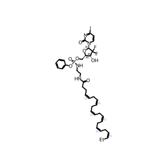 CC/C=C\C/C=C\C/C=C\C/C=C\C/C=C\C/C=C\CCC(=O)NCCNP(=O)(OC[C@H]1O[C@@H](n2ccc(I)nc2=O)C(F)(F)[C@@H]1O)Oc1ccccc1